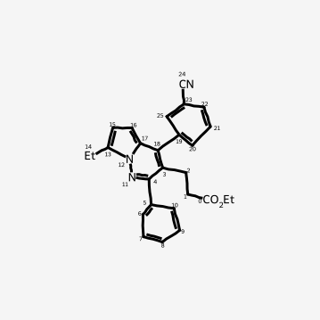 CCOC(=O)CCc1c(-c2ccccc2)nn2c(CC)ccc2c1-c1cccc(C#N)c1